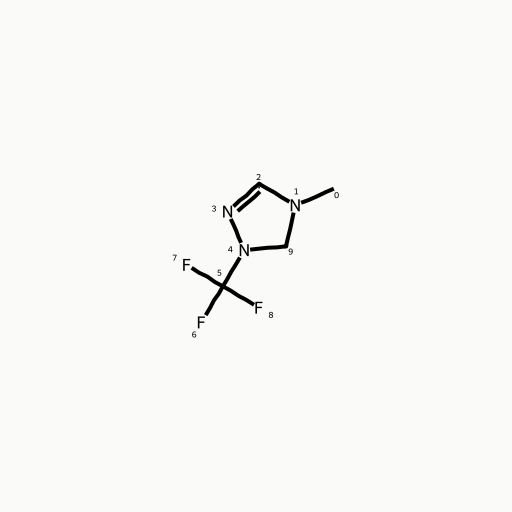 CN1[C]=NN(C(F)(F)F)C1